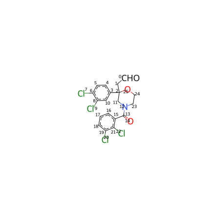 O=CCC1(c2ccc(Cl)c(Cl)c2)CN(C(=O)c2cccc(Cl)c2Cl)CCO1